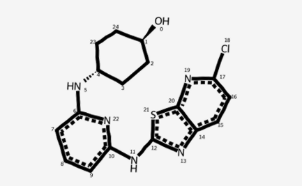 O[C@H]1CC[C@H](Nc2cccc(Nc3nc4ccc(Cl)nc4s3)n2)CC1